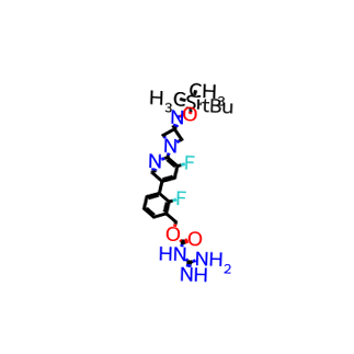 CC(C)(C)[Si](C)(C)ON=C1CN(c2ncc(-c3cccc(COC(=O)NC(=N)N)c3F)cc2F)C1